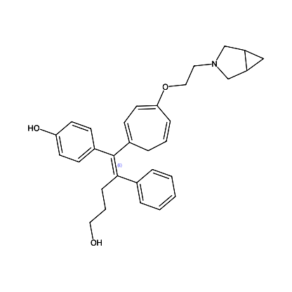 OCCC/C(=C(/C1=CC=C(OCCN2CC3CC3C2)C=CC1)c1ccc(O)cc1)c1ccccc1